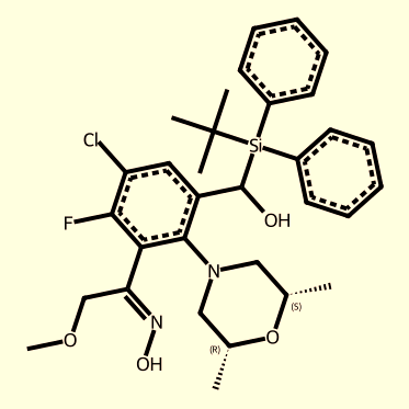 COCC(=NO)c1c(F)c(Cl)cc(C(O)[Si](c2ccccc2)(c2ccccc2)C(C)(C)C)c1N1C[C@@H](C)O[C@@H](C)C1